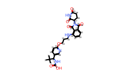 CC(C)(C)C(NC(=O)O)c1ccc(OCCCNc2cccc3c2C(=O)N(C2CCC(=O)NC2=O)C3=O)nc1